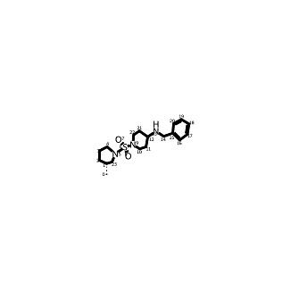 C[C@@H]1CCCN(S(=O)(=O)N2CCC(NCc3ccccc3)CC2)C1